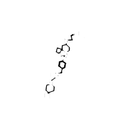 C=CC(=O)NC1CCN(S(=O)(=O)c2ccc(C(=O)NCCN3CCC(F)(F)CC3)cc2)C2(CCC2)C1